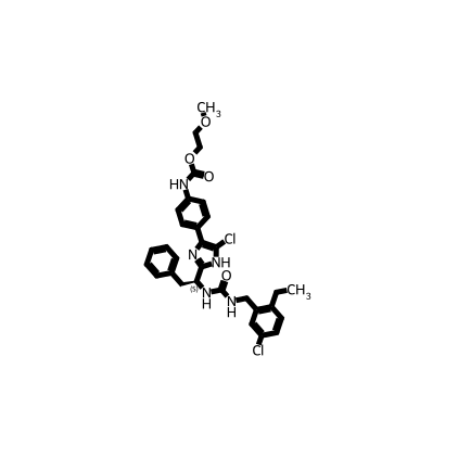 CCc1ccc(Cl)cc1CNC(=O)N[C@@H](Cc1ccccc1)c1nc(-c2ccc(NC(=O)OCCOC)cc2)c(Cl)[nH]1